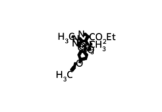 CC#CCOc1ccc(S(=O)(=O)N(C)c2c(C(=O)OCC)cnc3c2c(C)nn3C)cc1